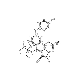 CC(C)[Si](Oc1c2c(c(CC(=O)O)c3cc(Cc4ccc(F)cc4)cnc13)CN(C)C2=O)(C(C)C)C(C)C